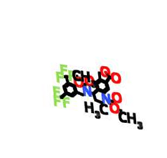 CCOC(=O)N1c2cc3c(cc2C(N(Cc2cc(C(F)(F)F)cc(C(F)(F)F)c2)C(=O)OC)CC1C)COC3=O